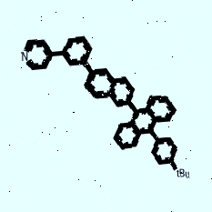 CC(C)(C)c1ccc(-c2c3ccccc3c(-c3ccc4cc(-c5cccc(-c6ccncc6)c5)ccc4c3)c3ccccc23)cc1